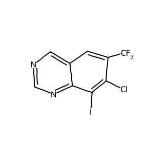 FC(F)(F)c1cc2cncnc2c(I)c1Cl